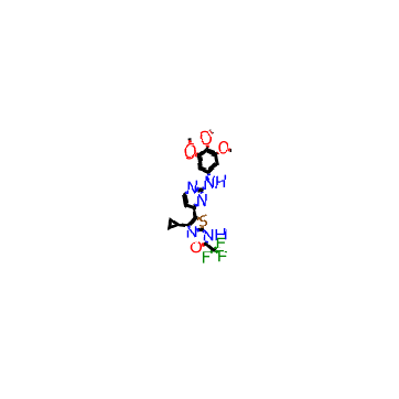 COc1cc(Nc2nccc(-c3sc(NC(=O)C(F)(F)F)nc3C3CC3)n2)cc(OC)c1OC